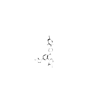 Cc1cnc(N2CCN(C(=O)c3ccc(N4CCN(C)C4=O)cc3N3CCN(C)C3=O)CC2)c(C)c1